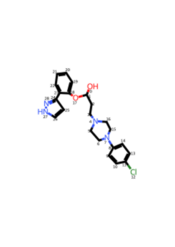 OC(CCN1CCN(c2ccc(Cl)cc2)CC1)Oc1ccccc1-c1cc[nH]n1